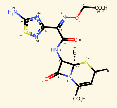 CC1C=C(C(=O)O)N2C(=O)C(NC(=O)/C(=N\OCC(=O)O)c3nsc(N)n3)[C@H]2S1